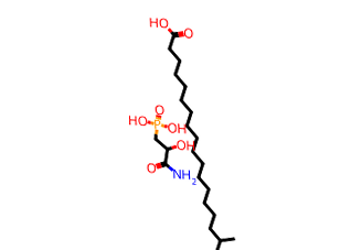 CC(C)CCCCCCCCCCCCCCCC(=O)O.NC(=O)C(O)CP(=O)(O)O